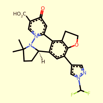 CC1(C)CC[C@@H]2c3cc(-c4cnn(C(F)F)c4)c4c(c3-c3cc(=O)c(C(=O)O)cn3N21)CCO4